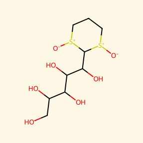 [O-][S+]1CCC[S+]([O-])C1C(O)C(O)C(O)C(O)CO